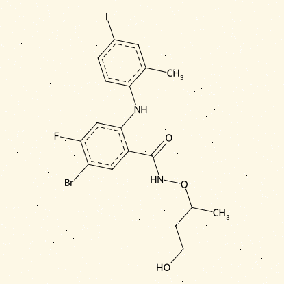 Cc1cc(I)ccc1Nc1cc(F)c(Br)cc1C(=O)NOC(C)CCO